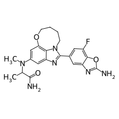 CC(C(N)=O)N(C)c1cc2c3c(c1)nc(-c1cc(F)c4oc(N)nc4c1)n3CCCCO2